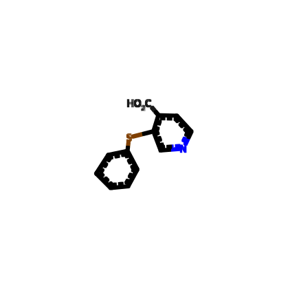 O=C(O)c1ccncc1Sc1ccccc1